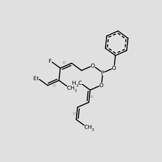 C/C=C\C=C(/C)OP(OC/C=C(F)\C(C)=C/CC)Oc1ccccc1